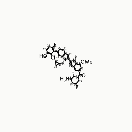 COc1cc(C(=O)N2C[C@H](N)C[C@@H](F)C2)cc2nc(-c3cc4ccc(-c5c(F)ccc(O)c5Cl)cc4n3CC3CC3)n(C)c12